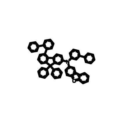 c1ccc(-c2cccc(N(c3ccc4c(c3)C(c3ccccc3)(c3ccccc3)c3cccc(-c5ccccc5-c5ccccc5)c3-4)c3ccc4oc5ccccc5c4c3)c2)cc1